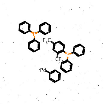 FC(F)(F)c1ccc(P(c2ccccc2)c2ccccc2)c(C(F)(F)F)c1.[Pd][c]1ccccc1.c1ccc(P(c2ccccc2)c2ccccc2)cc1